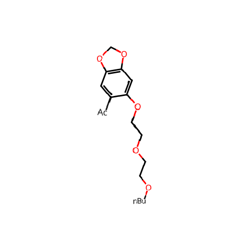 CCCCOCCOCCOc1cc2c(cc1C(C)=O)OCO2